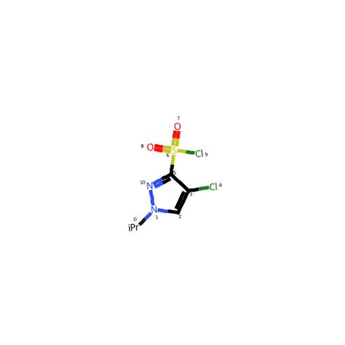 CC(C)n1cc(Cl)c(S(=O)(=O)Cl)n1